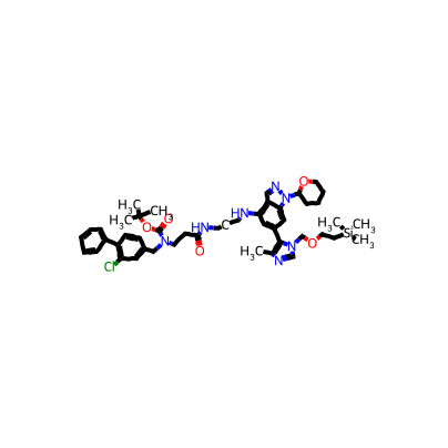 Cc1ncn(COCC[Si](C)(C)C)c1-c1cc(NCCCNC(=O)CCN(Cc2ccc(-c3ccccc3)c(Cl)c2)C(=O)OC(C)(C)C)c2cnn(C3CCCCO3)c2c1